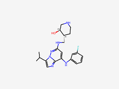 CC(C)c1cnc2c(Nc3cccc(F)c3)cc(NC[C@H]3CCNC[C@@H]3O)nn12